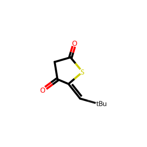 CC(C)(C)/C=C1\SC(=O)CC1=O